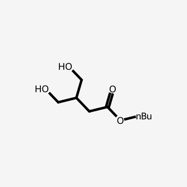 CCCCOC(=O)CC(CO)CO